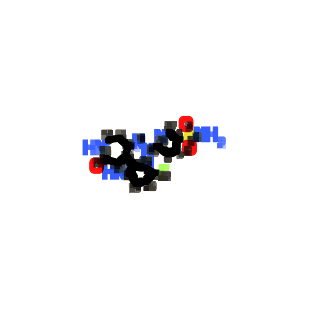 NS(=O)(=O)c1ccc(N/N=C2/CCNC(=O)c3[nH]c4ccc(F)cc4c32)nc1